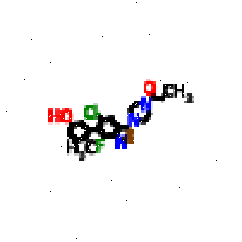 C=CC(=O)N1CCN(c2snc3c(F)c(-c4cc(O)ccc4C)c(Cl)cc23)CC1